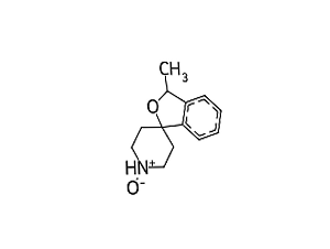 CC1OC2(CC[NH+]([O-])CC2)c2ccccc21